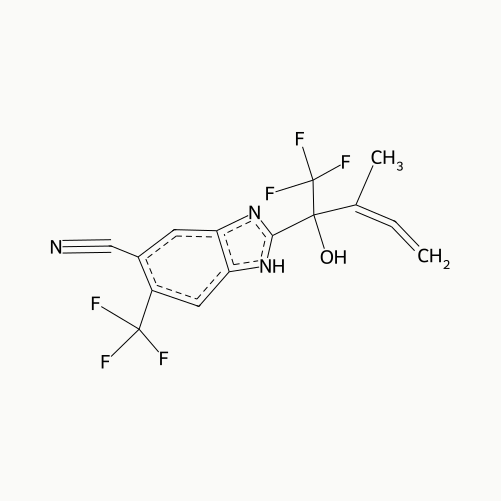 C=C=C(C)C(O)(c1nc2cc(C#N)c(C(F)(F)F)cc2[nH]1)C(F)(F)F